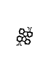 CN(C)c1cccc2c1-c1ccccc1C21c2ccccc2-c2c(N(C)C)cccc21